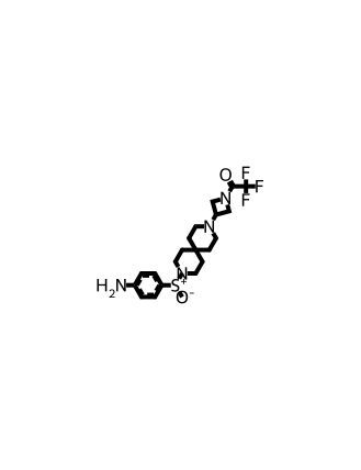 Nc1ccc([S+]([O-])N2CCC3(CCN(C4CN(C(=O)C(F)(F)F)C4)CC3)CC2)cc1